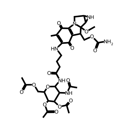 COC12C(COC(N)=O)C3=C(C(=O)C(C)=C(NCCCC(=O)NC4OC(COC(C)=O)C(OC(C)=O)C(OC(C)=O)C4NC(C)=O)C3=O)N1CC1NC12